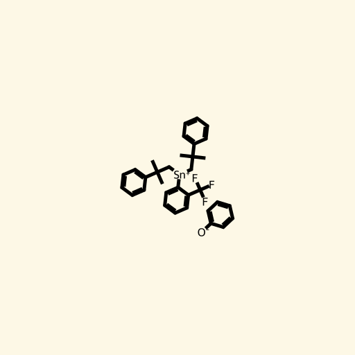 CC(C)([CH2][Sn+]([CH2]C(C)(C)c1ccccc1)[c]1ccccc1C(F)(F)F)c1ccccc1.[O-]c1ccccc1